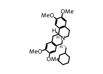 COc1cc2c(cc1OC)[C@H]1Cc3cc(OC)c(OC)cc3[C@@H](CC3CCCCC3)N1CC2